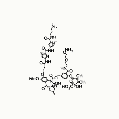 C=C1C[C@H]2C(O)N(C(=O)OCc3ccc(O[C@@H]4O[C@H](C(=O)O)[C@@H](O)[C@H](O)[C@H]4O)c(C(=O)NCCOCCON)c3)c3cc(OCCCC(=O)Nc4cn(C)c(C(=O)Nc5cc(C(=O)NCCCN(C)C)n(C)c5)n4)c(OC)cc3C(=O)N2C1